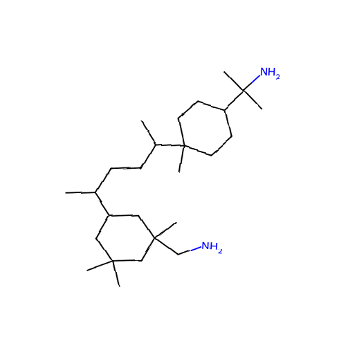 CC(CCC(C)C1(C)CCC(C(C)(C)N)CC1)C1CC(C)(C)CC(C)(CN)C1